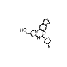 O=C(/N=S1/C=C(CO)CN1c1ccc2sccc2c1)N1CC[C@@H](F)C1